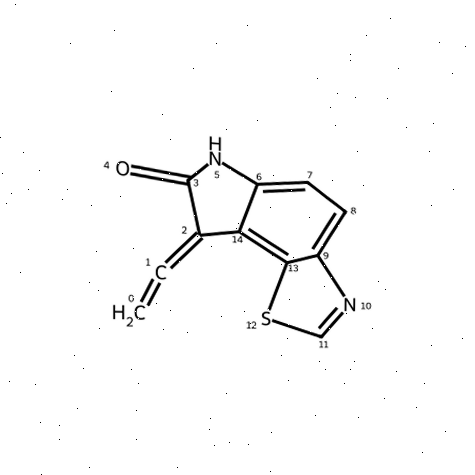 C=C=C1C(=O)Nc2ccc3ncsc3c21